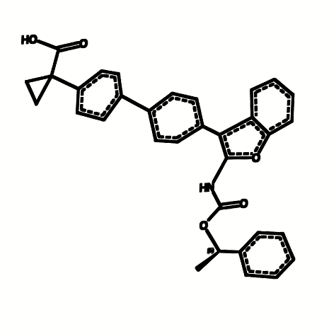 C[C@@H](OC(=O)Nc1oc2ccccc2c1-c1ccc(-c2ccc(C3(C(=O)O)CC3)cc2)cc1)c1ccccc1